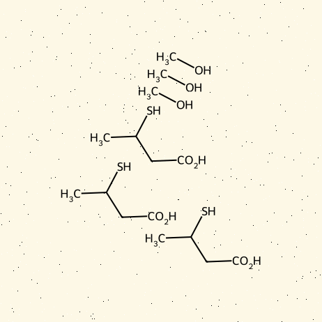 CC(S)CC(=O)O.CC(S)CC(=O)O.CC(S)CC(=O)O.CO.CO.CO